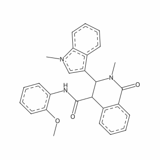 COc1ccccc1NC(=O)C1c2ccccc2C(=O)N(C)C1c1cn(C)c2ccccc12